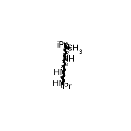 CC(C)NCCCNCCCCNCCCN(C)C(C)C